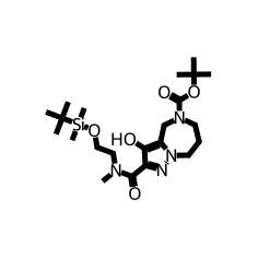 CN(CCO[Si](C)(C)C(C)(C)C)C(=O)c1nn2c(c1O)CN(C(=O)OC(C)(C)C)CCC2